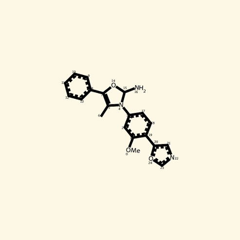 COc1cc(N2C(C)=C(c3ccccc3)OC2N)ccc1-c1cnco1